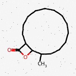 CC1CCCCCCCCCCCCC2C(=O)OC12